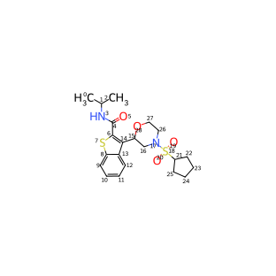 CC(C)NC(=O)c1sc2ccccc2c1C1CN(S(=O)(=O)C2CCCC2)CCO1